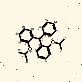 CC(C)Oc1ccccc1[C](c1ccccc1)c1ccccc1OC(C)C